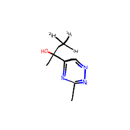 [2H]C([2H])([2H])C(C)(O)c1cnnc(C)n1